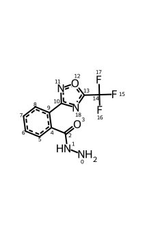 NNC(=O)c1ccccc1-c1noc(C(F)(F)F)n1